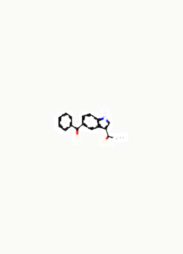 COC(=O)c1c[nH]c2ccc(C(=O)c3ccccc3)cc12